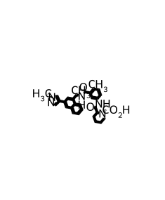 Cc1ccc(NC(=O)C2CCCCN2C(=O)O)cc1C(=O)NC(C)c1cc(-c2cnn(C)c2)cc2ccccc12